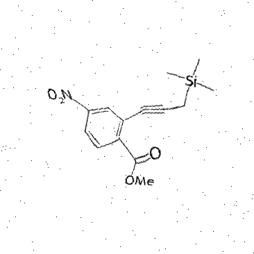 COC(=O)c1ccc([N+](=O)[O-])cc1C#CC[Si](C)(C)C